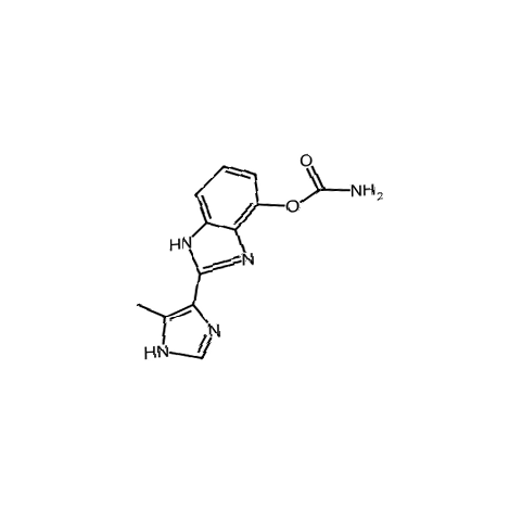 Cc1[nH]cnc1-c1nc2c(OC(N)=O)cccc2[nH]1